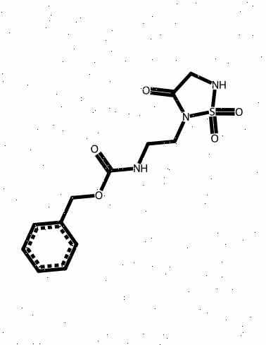 O=C(NCCN1C(=O)CNS1(=O)=O)OCc1ccccc1